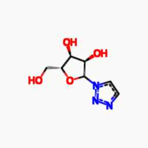 OC[C@H]1OC(n2ccnn2)[C@H](O)[C@@H]1O